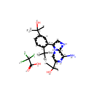 O=C(O)C(F)(F)F.[2H]C([2H])([2H])c1ccc(C(C)(O)C(F)(F)F)cc1-c1cnc2c(N)nc(C(C)(C)O)cn12